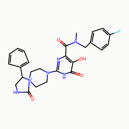 CN(Cc1ccc(F)cc1)C(=O)c1nc(N2CC[N+]3(CC2)C(=O)NCC3c2ccccc2)[nH]c(=O)c1O